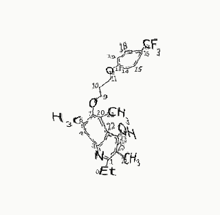 CCc1nc2cc(C)c(OCCCOc3ccc(C(F)(F)F)cc3)c(C)c2c(O)c1C